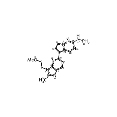 COCCn1c(C)nc2ccc(-c3ccn4nc(NP)ncc34)nc21